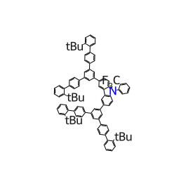 CC(C)(C)c1ccccc1-c1ccc(-c2cc(-c3ccc(-c4ccccc4C(C)(C)C)cc3)cc(-c3ccc4c(c3)c3cc(-c5cc(-c6ccc(-c7ccccc7C(C)(C)C)cc6)cc(-c6ccc(-c7ccccc7C(C)(C)C)cc6)c5)ccc3n4-c3ccccc3C(F)(F)F)c2)cc1